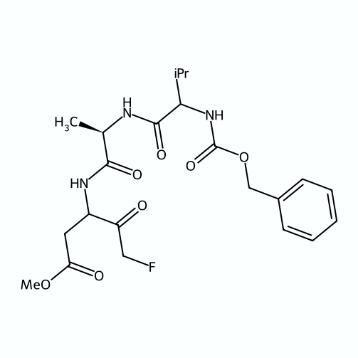 COC(=O)CC(NC(=O)[C@@H](C)NC(=O)C(NC(=O)OCc1ccccc1)C(C)C)C(=O)CF